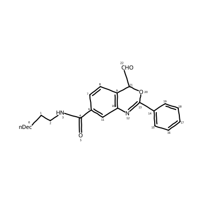 CCCCCCCCCCCCNC(=O)c1ccc2c(c1)N=C(c1ccccc1)OC2C=O